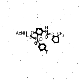 CC(=O)NC[C@H]1CN(S(=O)(=O)c2ccc(F)cc2)c2cc(NC(=O)O[C@@H]3CCCCC3C(F)(F)F)ccc2O1